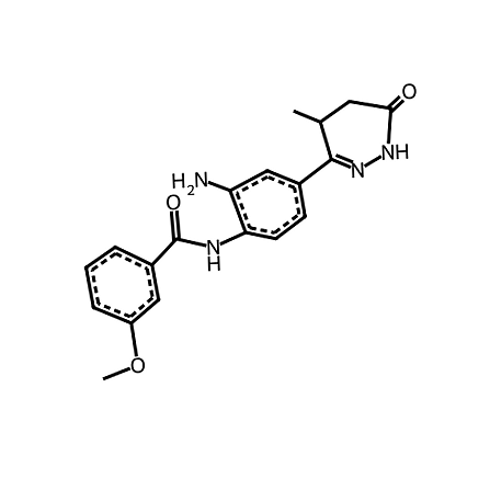 COc1cccc(C(=O)Nc2ccc(C3=NNC(=O)CC3C)cc2N)c1